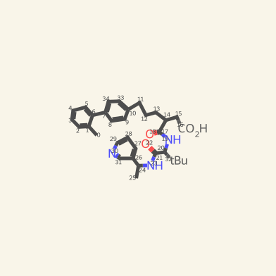 Cc1ccccc1-c1ccc(CCCC(CC(=O)O)C(=O)NC(C(=O)NC(C)c2cccnc2)C(C)(C)C)cc1